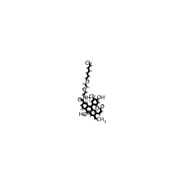 C/C=c1/ccc2c(c1/C=C\C=O)Oc1cc(O)c(Cl)cc1C=2c1cc(C(=O)NCCOCCOCCCCCCCl)ccc1C(=O)O